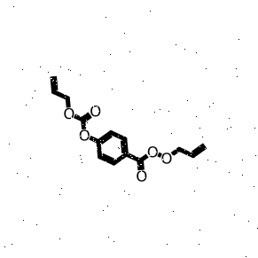 C=CCOOC(=O)c1ccc(OC(=O)OCC=C)cc1